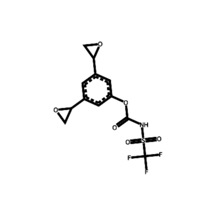 O=C(NS(=O)(=O)C(F)(F)F)Oc1cc(C2CO2)cc(C2CO2)c1